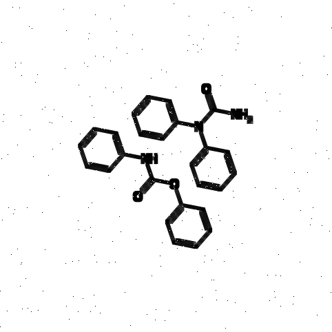 NC(=O)N(c1ccccc1)c1ccccc1.O=C(Nc1ccccc1)Oc1ccccc1